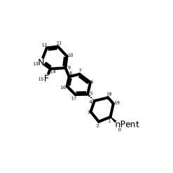 CCCCC[C@H]1CC[C@H](c2ccc(-c3cccnc3F)cc2)CC1